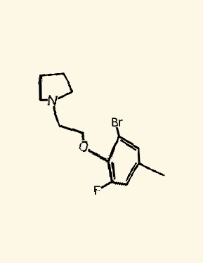 Cc1cc(F)c(OCCN2CCCC2)c(Br)c1